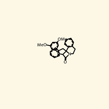 COc1cc(OC)cc(OC2C(=O)N3CCc4ccccc4C23Cc2ccccc2)c1